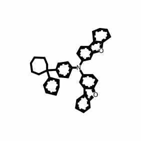 c1ccc(C2(c3ccc(N(c4ccc5c(c4)oc4ccccc45)c4ccc5oc6ccccc6c5c4)cc3)CCCCCC2)cc1